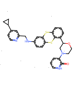 O=c1[nH]cccc1N1CCOC(c2cccc3c2Sc2ccc(NCc4cc(C5CC5)ccn4)cc2S3)C1